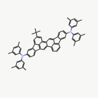 Cc1cc(C)cc(N(c2cc(C)cc(C)c2)c2ccc3c(c2)c2cccc4c5cc6c7ccc(N(c8cc(C)cc(C)c8)c8cc(C)cc(C)c8)cc7c7cc(C(C)(C)C)cc(c5cc3c24)c76)c1